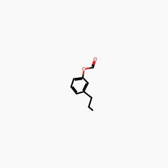 CCCc1cccc(OC=O)c1